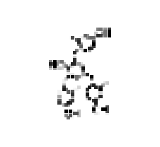 Cc1cc(O)ccc1Cc1cc(Cc2ccc(O)cc2C)c(O)c(Cc2ccc(O)cc2C)c1